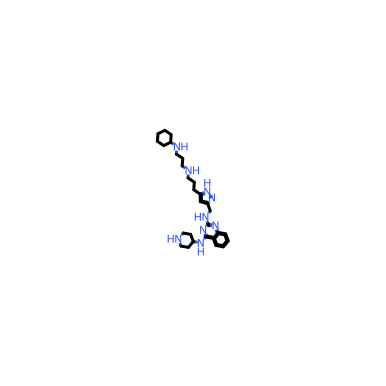 c1ccc2c(NC3CCNCC3)nc(NCc3cc(CCCNCCCNC4CCCCC4)[nH]n3)nc2c1